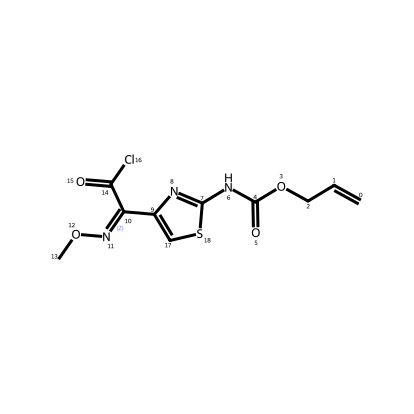 C=CCOC(=O)Nc1nc(/C(=N/OC)C(=O)Cl)cs1